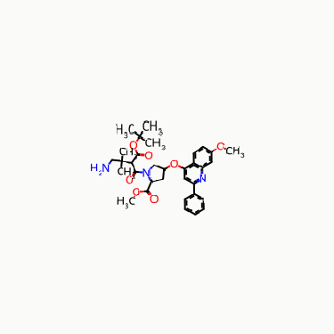 COC(=O)C1CC(Oc2cc(-c3ccccc3)nc3cc(OC)ccc23)CN1C(=O)C(C(=O)OC(C)(C)C)C(C)(C)CN